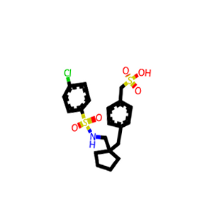 O=S(=O)(O)Cc1ccc(CC2(CNS(=O)(=O)c3ccc(Cl)cc3)CCCC2)cc1